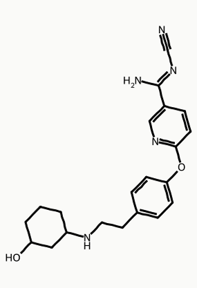 N#C/N=C(\N)c1ccc(Oc2ccc(CCNC3CCCC(O)C3)cc2)nc1